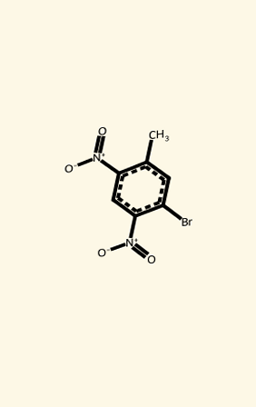 Cc1cc(Br)c([N+](=O)[O-])cc1[N+](=O)[O-]